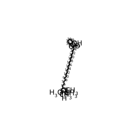 CC1(C)CC(CCCCCCCCCCCCCCCCCCCCC(OC2CCCCC2)C(=O)O)CC(C)(C)N1